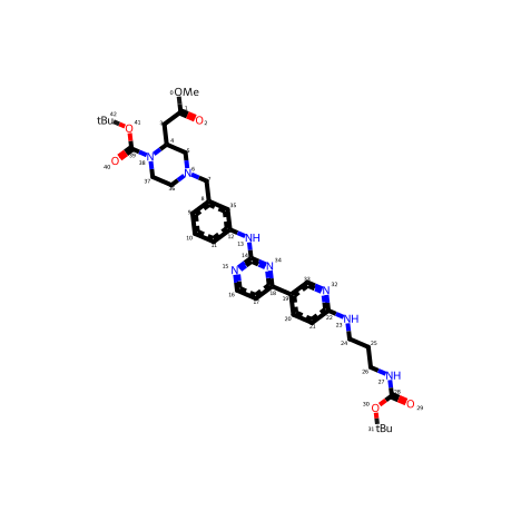 COC(=O)CC1CN(Cc2cccc(Nc3nccc(-c4ccc(NCCCNC(=O)OC(C)(C)C)nc4)n3)c2)CCN1C(=O)OC(C)(C)C